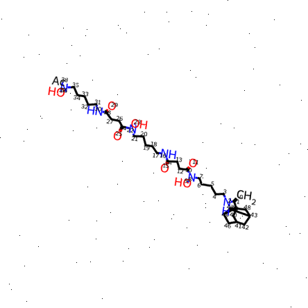 C=C(NCCCCCN(O)C(=O)CCC(=O)NCCCCCN(O)C(=O)CCC(=O)NCCCCCN(O)C(C)=O)C12CC3CC(CC(C3)C1)C2